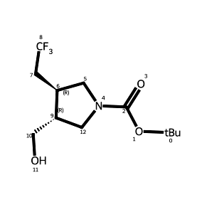 CC(C)(C)OC(=O)N1C[C@H](CC(F)(F)F)[C@@H](CO)C1